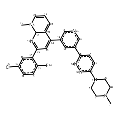 CN1CCN(c2ccc(-c3cncc(C4=CC(c5cc(Cl)ccc5F)=NC5C4=CC=CN5C)c3)nn2)CC1